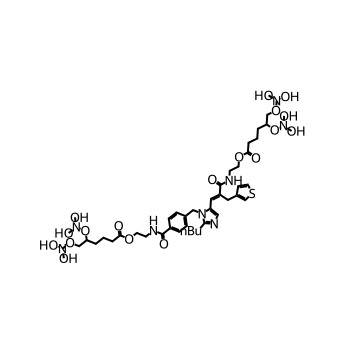 CCCCc1ncc(/C=C(\Cc2ccsc2)C(=O)NCCOC(=O)CCCC(CON(O)O)ON(O)O)n1Cc1ccc(C(=O)NCCOC(=O)CCCC(CON(O)O)ON(O)O)cc1